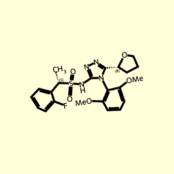 COc1cccc(OC)c1-n1c(NS(=O)(=O)[C@@H](C)c2ccccc2F)nnc1[C@H]1CCCO1